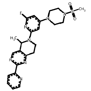 CC1c2cnc(-c3ccccn3)nc2CCN1c1cc(N2CCN(S(C)(=O)=O)CC2)cc(F)n1